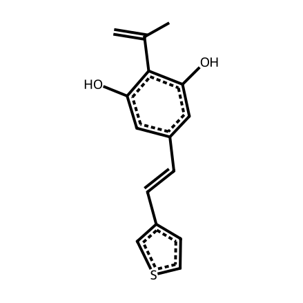 C=C(C)c1c(O)cc(C=Cc2ccsc2)cc1O